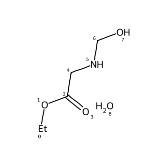 CCOC(=O)CNCO.O